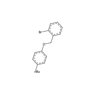 CCCCc1ccc(OCc2ccccc2Br)cc1